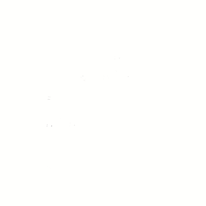 C=C(F)C(=O)OC[Si](C)(C)C/C=C(\F)C(=O)OC1CCOCC1